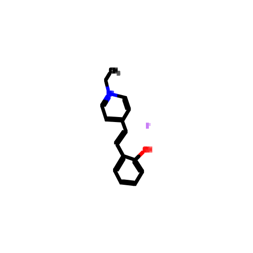 CC[n+]1ccc(/C=C/c2ccccc2O)cc1.[I-]